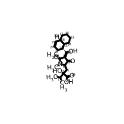 CC(C)C(O)(CC1C(=O)/C(=C(\O)[C@H]2C3CCCC[C@H]3C=C[C@H]2C)C(=O)N1C)C(=O)O